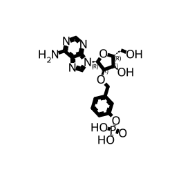 Nc1ncnc2c1ncn2[C@@H]1O[C@H](CO)[C@H](O)[C@H]1OCc1cccc(OP(=O)(O)O)c1